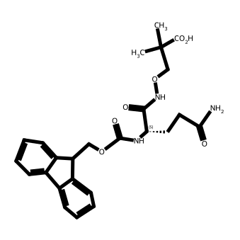 CC(C)(CONC(=O)[C@H](CCC(N)=O)NC(=O)OCC1c2ccccc2-c2ccccc21)C(=O)O